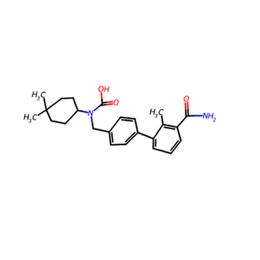 Cc1c(C(N)=O)cccc1-c1ccc(CN(C(=O)O)C2CCC(C)(C)CC2)cc1